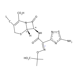 CC(C)(O/N=C(\C(=O)N[C@@H]1C(=O)N2C(C(=O)O)=C(CI)CS[C@@H]12)c1nsc(N)n1)C(=O)O